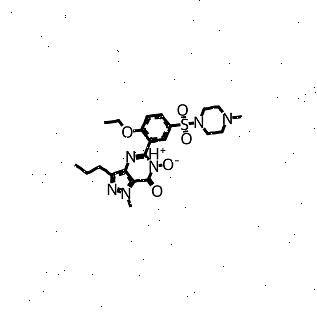 CCCc1nn(C)c2c1N=C(c1cc(S(=O)(=O)N3CCN(C)CC3)ccc1OCC)[NH+]([O-])C2=O